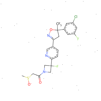 C[S+]([O-])CC(=O)N1CC(F)(c2ccc(C3=NOC(c4cc(F)cc(Cl)c4)(C(F)(F)F)C3)cn2)C1